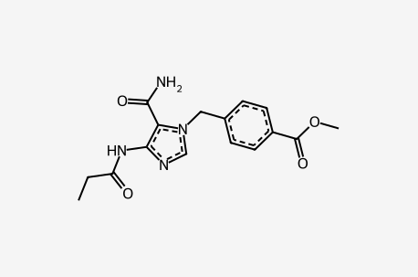 CCC(=O)Nc1ncn(Cc2ccc(C(=O)OC)cc2)c1C(N)=O